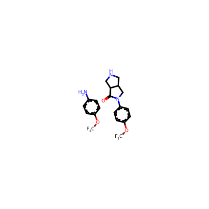 Nc1ccc(OC(F)(F)F)cc1.O=C1C2CNCC2CN1c1ccc(OC(F)(F)F)cc1